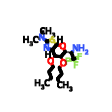 CCCCO[C@@H]1[C@H]2N=C(N(C)C)S[C@H]2O[C@H](C(N)C(F)(F)F)[C@H]1OCCCC